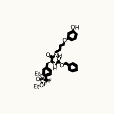 CCOP(=O)(OCC)C(F)(F)c1ccc(C[C@H](NC(=O)OCc2ccccc2)C(=O)NCCCCOc2cccc(O)c2)cc1